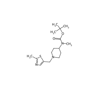 CN(C(=O)OC(C)(C)C)C1CCN(CC2=CN=S(C)S2)CC1